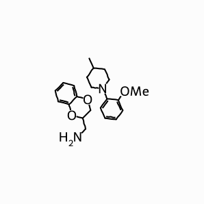 COc1ccccc1N1CCC(C)CC1.NCC1COc2ccccc2O1